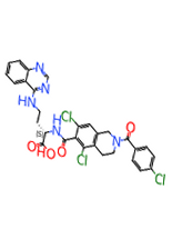 O=C(N[C@@H](CCNc1ncnc2ccccc12)C(=O)O)c1c(Cl)cc2c(c1Cl)CCN(C(=O)c1ccc(Cl)cc1)C2